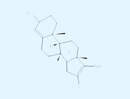 C[C@]12CCC(O)C=C1CC[C@@H]1[C@H]2CC[C@]2(C)C(N)=C(F)C[C@@H]12